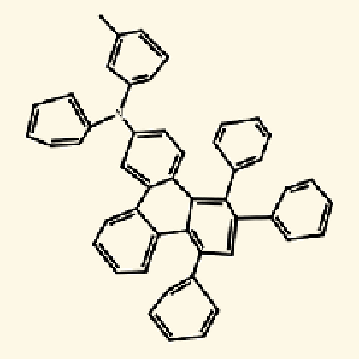 Cc1cccc(N(c2ccccc2)c2ccc3c(c2)c2ccccc2c2c(-c4ccccc4)cc(-c4ccccc4)c(-c4ccccc4)c32)c1